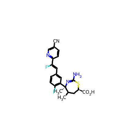 CC1C[C@H](C(=O)O)SC(N)=N[C@]1(C)c1cc(/C=C(\F)c2ccc(C#N)cn2)ccc1F